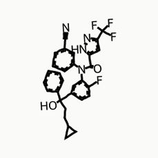 N#Cc1cccc(N(C(=O)c2cc(C(F)(F)F)n[nH]2)c2cc(C(O)(CCC3CC3)c3ccccc3)ccc2F)c1